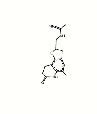 CC(=N)NCC1Cc2cc(C)c3c(c2O1)CCC(=O)N3